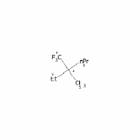 CCCC(C)(CC)C(F)(F)F